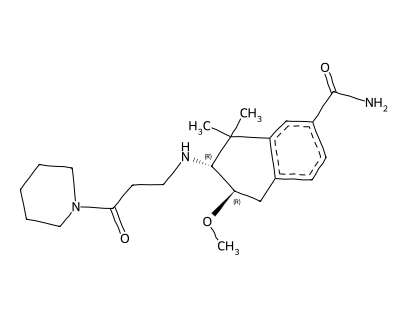 CO[C@@H]1Cc2ccc(C(N)=O)cc2C(C)(C)[C@H]1NCCC(=O)N1CCCCC1